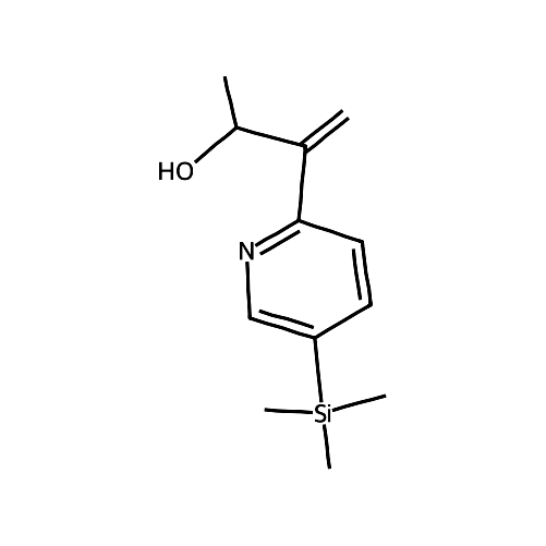 C=C(c1ccc([Si](C)(C)C)cn1)C(C)O